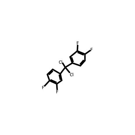 Fc1ccc(C(Cl)(Cl)c2ccc(F)c(F)c2)cc1F